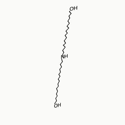 OCCCCCCCCCCCCCCCCCCCNCCCCCCCCCCCCCCCCCCCO